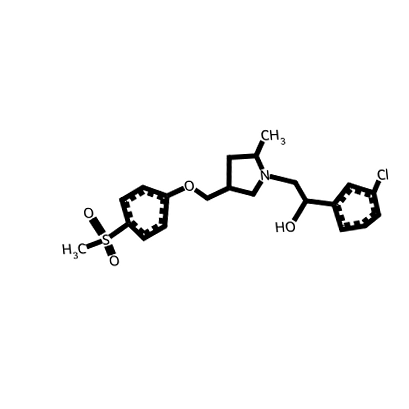 CC1CC(COc2ccc(S(C)(=O)=O)cc2)CN1CC(O)c1cccc(Cl)c1